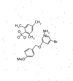 COc1ccc(COc2cc(Br)c[n+](N)c2)cc1.Cc1cc(C)c(S(=O)(=O)[O-])c(C)c1